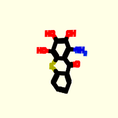 Nc1c(O)c(O)c(O)c2sc3ccccc3c(=O)c12